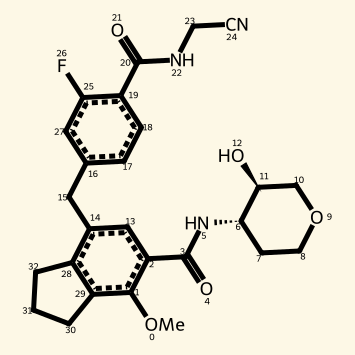 COc1c(C(=O)N[C@H]2CCOC[C@@H]2O)cc(Cc2ccc(C(=O)NCC#N)c(F)c2)c2c1CCC2